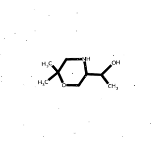 CC(O)C1COC(C)(C)CN1